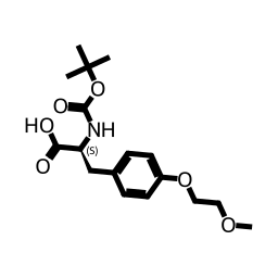 COCCOc1ccc(C[C@H](NC(=O)OC(C)(C)C)C(=O)O)cc1